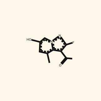 CC(=O)c1c(F)nn2cc(O)cc(C)c12